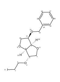 ICCO[C@H]1CO[C@H]2[C@@H]1OC[C@H]2OCc1ccccc1